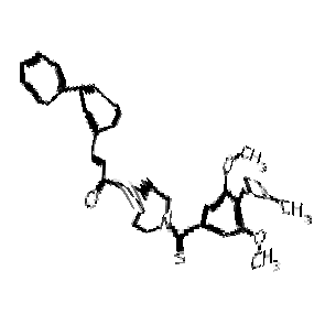 COc1cc(C(=S)N2CCN(C(=O)C=Cc3cccc(-c4ccccc4)c3)CC2)cc(OC)c1OC